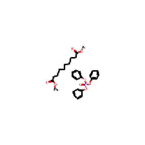 CCCCOC(=O)CCCCCCCCC(=O)OCCCC.O=P(Oc1ccccc1)(Oc1ccccc1)Oc1ccccc1